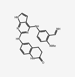 CNc1ccc(Nc2nc(Nc3ccc4c(c3)CCC(=O)N4)nc3[nH]ccc23)cc1C=N